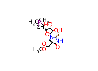 C=P(C)(C)CC[C@H]1OC(n2cc(CC(=O)OC)c(=O)[nH]c2=S)[C@H](O)[C@@H]1O